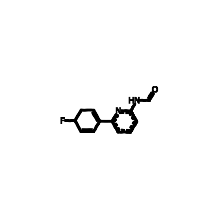 O=CNc1cccc(C2=CCC(F)C=C2)n1